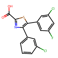 O=C(O)c1nc(-c2cccc(Cl)c2)c(-c2cc(F)cc(Cl)c2)s1